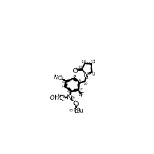 CC(C)(C)ON(C=O)c1cc(C#N)cc(CN2CCCC2=O)c1F